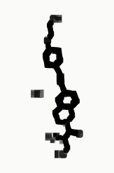 Cl.N[C@H](CO)C(=O)N1CCc2cc(C#Cc3ccc(OCCO)cc3)ccc2C1